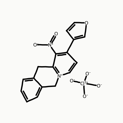 O=[N+]([O-])c1c(-c2ccoc2)cc[n+]2c1Cc1ccccc1C2.[O-][Cl+3]([O-])([O-])[O-]